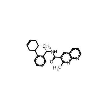 Cc1nc2ncccc2cc1C(=O)N[C@@H](C)c1ccccc1C1CC=CCC1